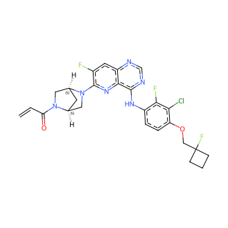 C=CC(=O)N1C[C@@H]2C[C@H]1CN2c1nc2c(Nc3ccc(OCC4(F)CCC4)c(Cl)c3F)ncnc2cc1F